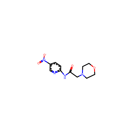 O=C(CN1CCOCC1)Nc1ccc([N+](=O)[O-])cn1